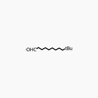 CC(C)(C)CCCCCCCC[C]=O